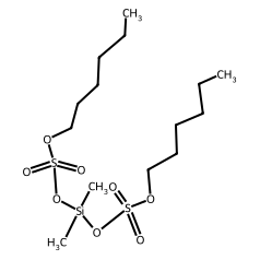 CCCCCCOS(=O)(=O)O[Si](C)(C)OS(=O)(=O)OCCCCCC